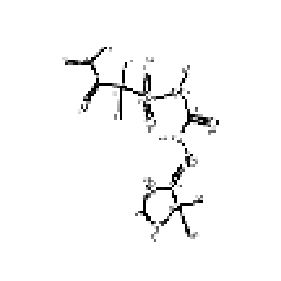 CC(C)C(=O)C(C)(C)S(=O)(=O)N(C)C(=O)ON=C1SCSC1(C)C